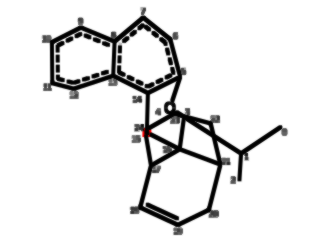 CC(C)C1Oc2ccc3ccccc3c2CC12C1C=CCC2CCC1